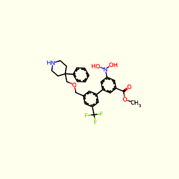 COC(=O)c1cc(-c2cc(COCC3(c4ccccc4)CCNCC3)cc(C(F)(F)F)c2)cc(N(O)O)c1